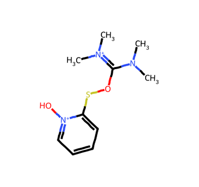 CN(C)C(OSc1cccc[n+]1O)=[N+](C)C